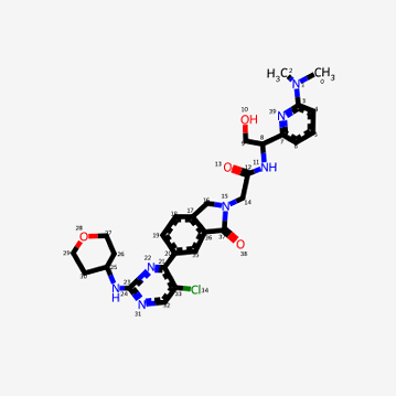 CN(C)c1cccc(C(CO)NC(=O)CN2Cc3ccc(-c4nc(NC5CCOCC5)ncc4Cl)cc3C2=O)n1